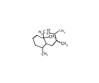 CC(O)C(C)CC1C(C)CCCC1(C)C